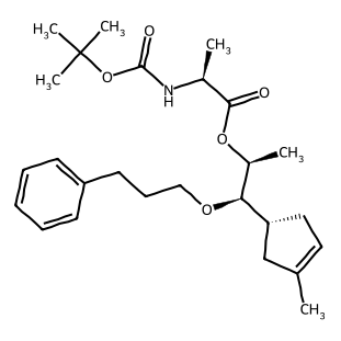 CC1=CC[C@@H]([C@@H](OCCCc2ccccc2)[C@H](C)OC(=O)[C@H](C)NC(=O)OC(C)(C)C)C1